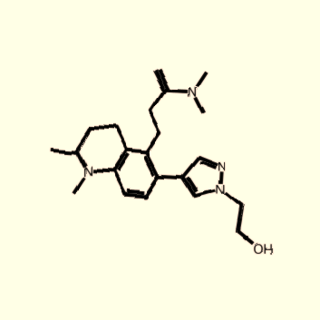 C=C(CCc1c(-c2cnn(CCO)c2)ccc2c1CCC(C)N2C)N(C)C